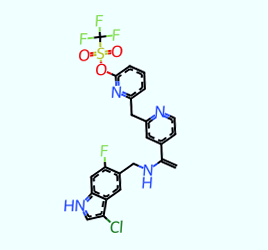 C=C(NCc1cc2c(Cl)c[nH]c2cc1F)c1ccnc(Cc2cccc(OS(=O)(=O)C(F)(F)F)n2)c1